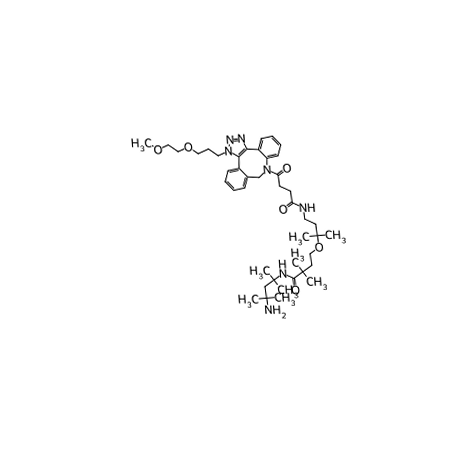 COCCOCCCn1nnc2c1-c1ccccc1CN(C(=O)CCC(=O)NCCC(C)(C)OCCC(C)(C)C(=O)NC(C)(C)CC(C)(C)N)c1ccccc1-2